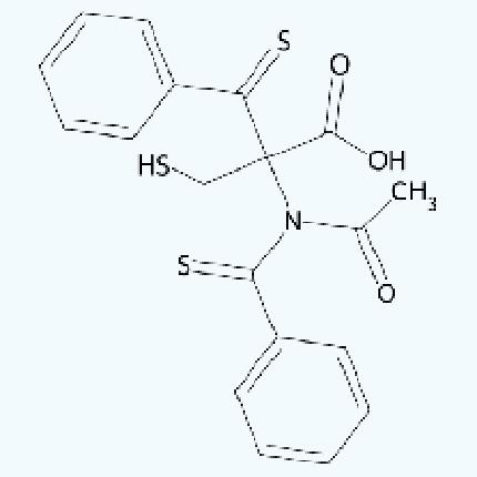 CC(=O)N(C(=S)c1ccccc1)C(CS)(C(=O)O)C(=S)c1ccccc1